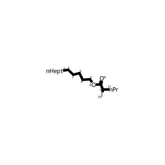 CCCCCCCCCCCCOC(=O)C(I)CCC